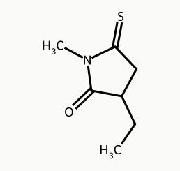 CCC1CC(=S)N(C)C1=O